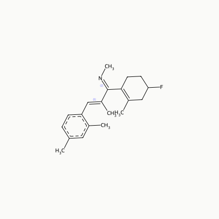 C/N=C(C1=C(C)CC(F)CC1)/C(C)=C/c1ccc(C)cc1C